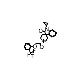 O=C(COc1ccccc1C(F)(F)F)N1CCC2(CC1)C(=O)N(C1CC1)c1ccccc12